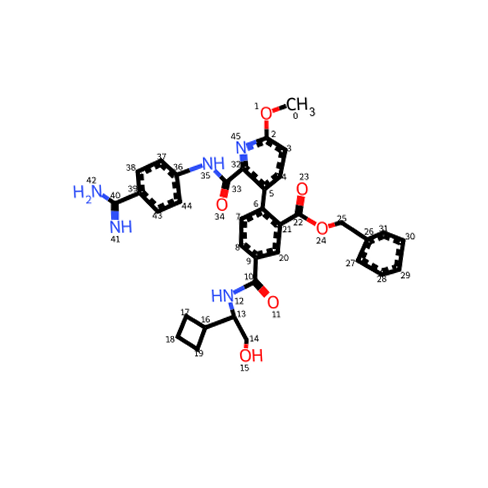 COc1ccc(-c2ccc(C(=O)NC(CO)C3CCC3)cc2C(=O)OCc2ccccc2)c(C(=O)Nc2ccc(C(=N)N)cc2)n1